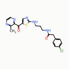 Cc1nccnc1C(=O)c1cnc(NCCCNC(=O)Cc2ccc(Cl)cc2)s1